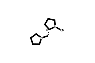 N#CN1CCC[C@H]1CN1CCCC1